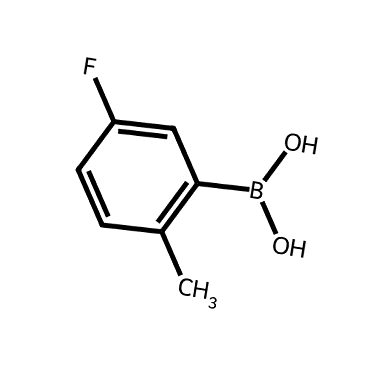 Cc1ccc(F)cc1B(O)O